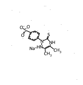 CC1=C(C)NN(c2ccc(S(=O)(=O)[O-])cc2)C(=S)N1.[Na+]